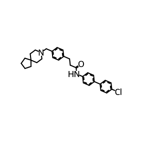 O=C(CCc1ccc(CN2CCC3(CCCC3)CC2)cc1)Nc1ccc(-c2ccc(Cl)cc2)cc1